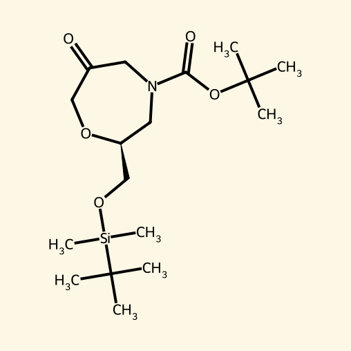 CC(C)(C)OC(=O)N1CC(=O)CO[C@H](CO[Si](C)(C)C(C)(C)C)C1